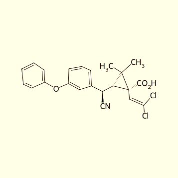 CC1(C)[C@@H]([C@@H](C#N)c2cccc(Oc3ccccc3)c2)[C@@]1(C=C(Cl)Cl)C(=O)O